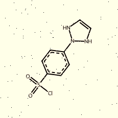 O=S(=O)(Cl)c1ccc(N2NC=CN2)cc1